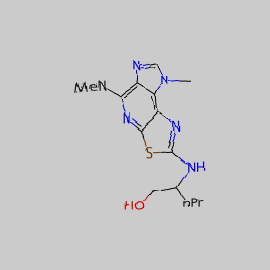 CCCC(CO)Nc1nc2c(nc(NC)c3ncn(C)c32)s1